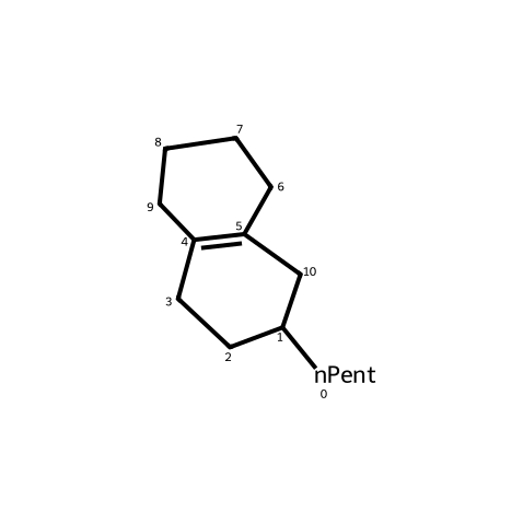 CCCCCC1CCC2=C(CCCC2)C1